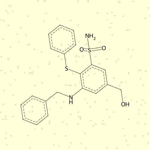 NS(=O)(=O)c1cc(CO)cc(NCc2ccccc2)c1Sc1ccccc1